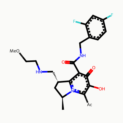 COCCNC[C@H]1C[C@H](C)n2c(C(C)=O)c(O)c(=O)c(C(=O)NCc3ccc(F)cc3F)c21